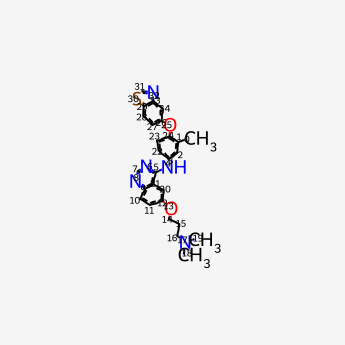 Cc1cc(Nc2ncnc3ccc(OCCCN(C)C)cc23)ccc1Oc1ccc2scnc2c1